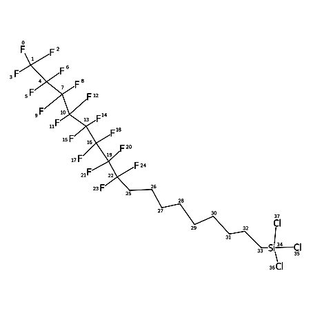 FC(F)(F)C(F)(F)C(F)(F)C(F)(F)C(F)(F)C(F)(F)C(F)(F)C(F)(F)CCCCCCCCC[Si](Cl)(Cl)Cl